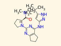 CN(C)C(=O)[C@@H]1CCCN1c1nc2c(c(Nc3cc(C(C)(C)C)[nH]n3)n1)CCC2